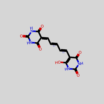 O=C1NC(=O)C(=C/C=C/C=C/c2c(O)[nH]c(=O)[nH]c2=O)C(=O)N1